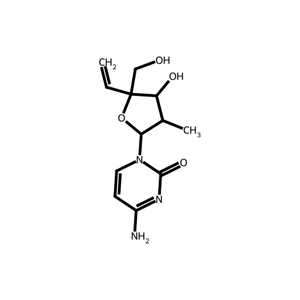 C=CC1(CO)OC(n2ccc(N)nc2=O)C(C)C1O